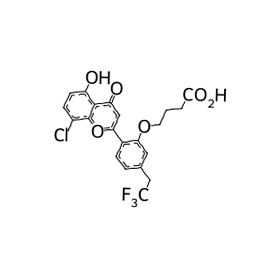 O=C(O)CCCOc1cc(CC(F)(F)F)ccc1-c1cc(=O)c2c(O)ccc(Cl)c2o1